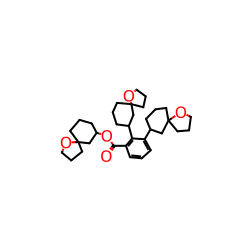 O=C(OC1CCCC2(CCCO2)C1)c1cccc(C2CCCC3(CCCO3)C2)c1C1CCCC2(CCCO2)C1